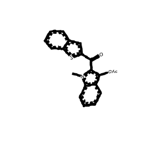 CC(=O)Oc1c(C(=O)c2cc3ccccc3s2)n(C)c2ccccc12